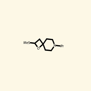 CSC1CC2(CCN(C(C)C)CC2)O1